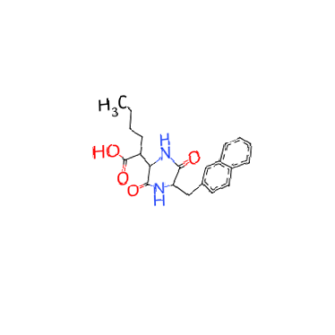 CCCCC(C(=O)O)C1NC(=O)C(Cc2ccc3ccccc3c2)NC1=O